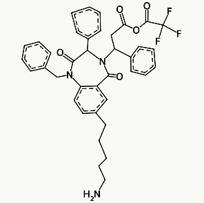 NCCCCCc1ccc2c(c1)C(=O)N(C(CC(=O)OC(=O)C(F)(F)F)c1ccccc1)C(c1ccccc1)C(=O)N2Cc1ccccc1